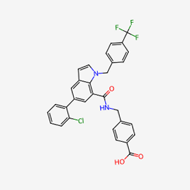 O=C(O)c1ccc(CNC(=O)c2cc(-c3ccccc3Cl)cc3ccn(Cc4ccc(C(F)(F)F)cc4)c23)cc1